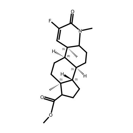 COC(=O)C1CC[C@H]2[C@@H]3CCC4N(C)C(=O)C(F)=C[C@]4(C)[C@@H]3CC[C@]12C